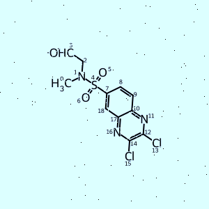 CN(C[C]=O)S(=O)(=O)c1ccc2nc(Cl)c(Cl)nc2c1